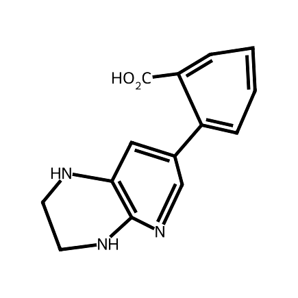 O=C(O)c1ccccc1-c1cnc2c(c1)NCCN2